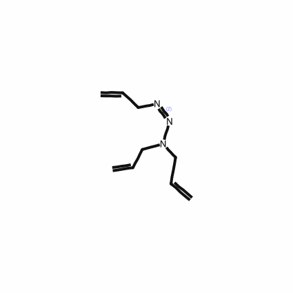 C=CC/N=N\N(CC=C)CC=C